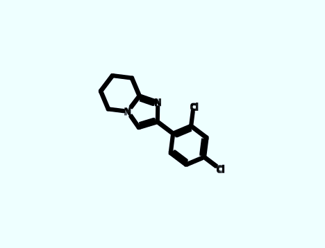 Clc1ccc(-c2cn3c(n2)CCCC3)c(Cl)c1